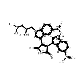 CN(C)CC(O)Cn1cc(C2=C(c3c[nH]c4ccc([N+](=O)[O-])cc34)C(=O)NC2=O)c2cc([N+](=O)[O-])ccc21